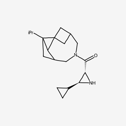 CC(C)C12CC3CN(C(=O)[C@@H]4N[C@H]4C4CC4)CC4CC1(C4)C32